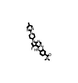 Cc1cnc(N2CCC(n3cc(F)c4c(Nc5ccc(C(=O)N(C)C)cc5F)ncnc43)CC2)nc1